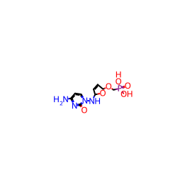 Nc1ccn(NC2C=CC(OCP(=O)(O)O)O2)c(=O)n1